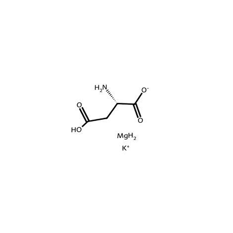 N[C@@H](CC(=O)O)C(=O)[O-].[K+].[MgH2]